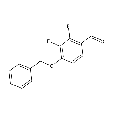 O=Cc1ccc(OCc2ccccc2)c(F)c1F